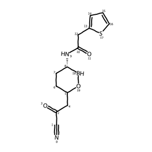 N#CC(=O)CC1CC[C@H](NC(=O)Cc2cccs2)BO1